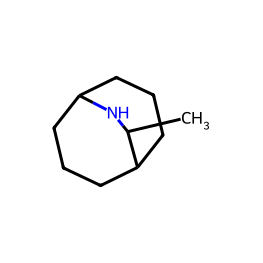 CC1NC2CCCC1CCC2